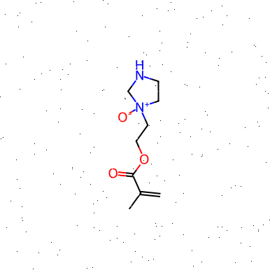 C=C(C)C(=O)OCC[N+]1([O-])CCNC1